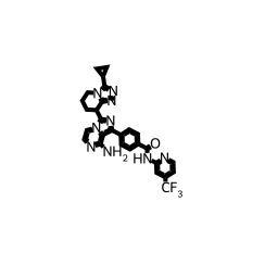 Nc1nccn2c(C3CCCn4c(C5CC5)nnc43)nc(-c3ccc(C(=O)Nc4cc(C(F)(F)F)ccn4)cc3)c12